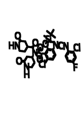 CC(C)(C)[Si](C)(C)Oc1c(N=C=Nc2ccc(F)cc2Cl)ccc(Cl)c1S(=O)(=O)N(C(=O)C1CCNC(=O)C1)C1CCNC(=O)C1